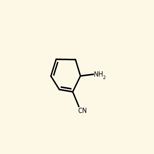 N#CC1=CC=CCC1N